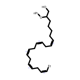 CC/C=C\C/C=C\C/C=C\C/C=C\C/C=C\CCCCC(CO)OCCC